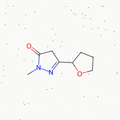 CN1N=C(C2CCCO2)CC1=O